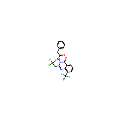 O=C(Cc1ccccc1)Nn1c(CC(F)(F)F)nc2c(C(F)(F)F)cccc2c1=O